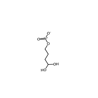 O=[N+]([O-])OCCCC(O)O